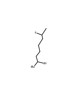 CCC(C)C(CCCCC(C)F)C(C)C